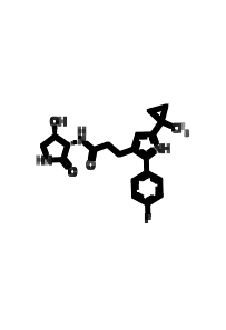 O=C(CCc1cc(C2(C(F)(F)F)CC2)[nH]c1-c1ccc(F)cc1)N[C@@H]1C(=O)NC[C@H]1O